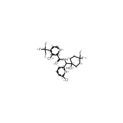 O=C(NC(c1cccc(Cl)n1)C1(O)CCC(F)(F)CC1)c1nccc(C(F)(F)F)c1Cl